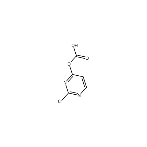 O=C(O)Oc1ccnc(Cl)n1